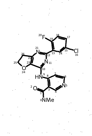 CNC(=O)c1cnccc1Nc1nc(-c2cc(Cl)ccc2F)nc2c1OCC2